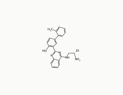 CC[C@H](N)CNc1nc(-c2cc(-c3ccccc3C)ccc2O)nc2ccccc12